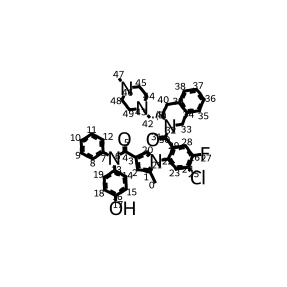 Cc1cc(C(=O)N(c2ccccc2)c2ccc(O)cc2)cn1-c1cc(Cl)c(F)cc1C(=O)N1Cc2ccccc2C[C@H]1CN1CCN(C)CC1